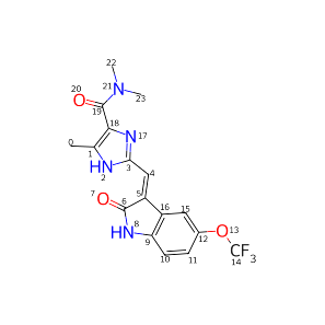 Cc1[nH]c(/C=C2\C(=O)Nc3ccc(OC(F)(F)F)cc32)nc1C(=O)N(C)C